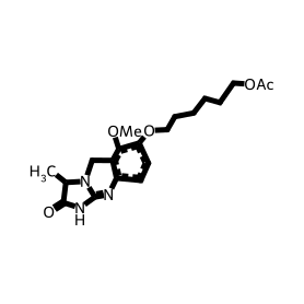 COc1c(OCCCCCCOC(C)=O)ccc2c1CN1C(=N2)NC(=O)C1C